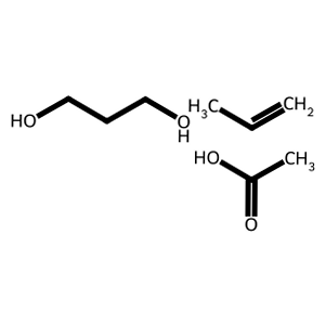 C=CC.CC(=O)O.OCCCO